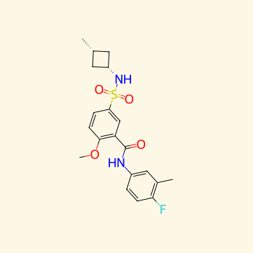 COc1ccc(S(=O)(=O)N[C@H]2C[C@@H](C)C2)cc1C(=O)Nc1ccc(F)c(C)c1